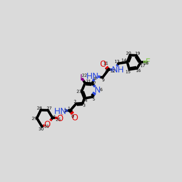 O=C(/C=C/c1cnc(NCC(=O)NCc2ccc(F)cc2)c(I)c1)NOC1CCCCO1